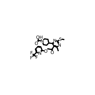 CSc1nc(C)c(C(=O)COc2cccc(C(F)(F)F)n2)c(C2CCN(C(=O)O)CC2)n1